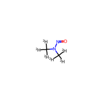 [2H]C([2H])([2H])N(N=O)C([2H])([2H])[2H]